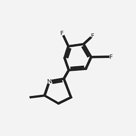 CC1CCC(c2cc(F)c(F)c(F)c2)=N1